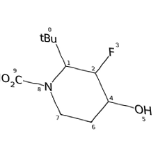 CC(C)(C)C1C(F)C(O)CCN1C(=O)O